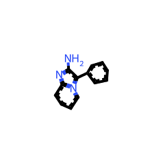 Nc1nc2ccccn2c1-c1ccccc1